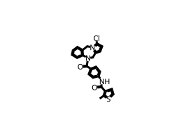 Cc1sccc1C(=O)Nc1ccc(C(=O)N2Cc3ccc(Cl)n3Cc3ccccc32)cc1